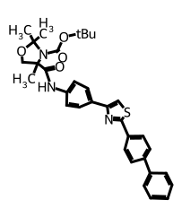 CC(C)(C)OC(=O)N1C(C)(C)OCC1(C)C(=O)Nc1ccc(-c2csc(-c3ccc(-c4ccccc4)cc3)n2)cc1